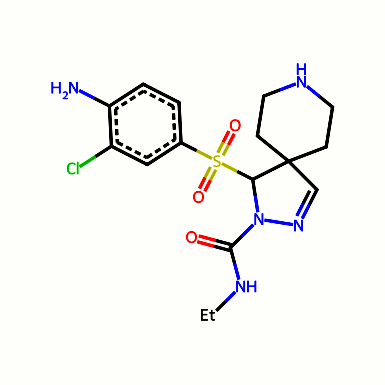 CCNC(=O)N1N=CC2(CCNCC2)C1S(=O)(=O)c1ccc(N)c(Cl)c1